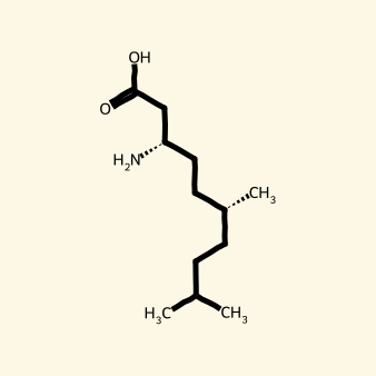 CC(C)CC[C@@H](C)CC[C@H](N)CC(=O)O